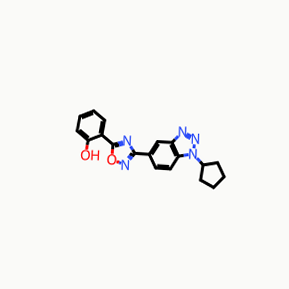 Oc1ccccc1-c1nc(-c2ccc3c(c2)nnn3C2CCCC2)no1